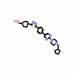 OCC1CCC(c2nnc(-c3ccc(-c4cnc(N5CCN(CC6CCCC6)CC5)nc4)cc3)s2)CC1